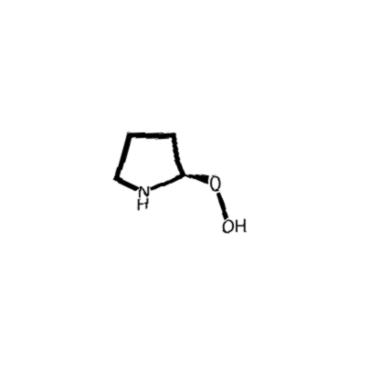 OO[C@@H]1CCCN1